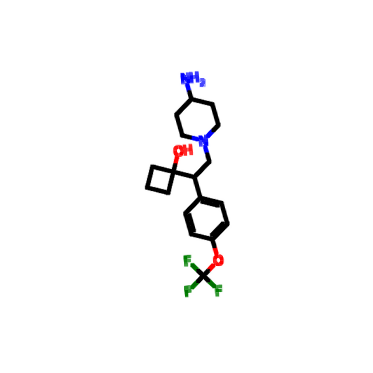 NC1CCN(CC(c2ccc(OC(F)(F)F)cc2)C2(O)CCC2)CC1